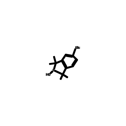 CC(C)(C)c1ccc2c(c1)C(C)(C)N(O)C2(C)C